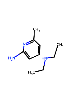 CCNCC.Cc1cccc(N)n1